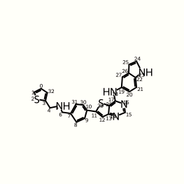 c1csc(CNCc2ccc(-c3cc4ncnc(Nc5ccc6[nH]ccc6c5)c4s3)cc2)c1